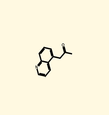 CC(=O)Cc1cccc2nc[c]cc12